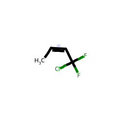 C/C=C\C(F)(F)Cl